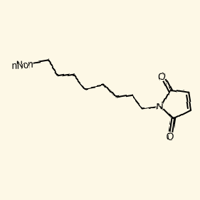 CCCCCCCCCCCCCCCCCN1C(=O)C=CC1=O